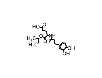 CCC(C)OC(=O)C(CCC(=O)O)NC(=O)CCc1ccc(O)c(O)c1